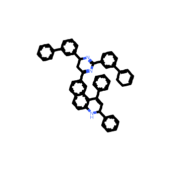 C1=CCCC(c2cccc(C3=NC(c4cccc(-c5ccccc5)c4)CC(c4ccc5ccc6c(c5c4)C(c4ccccc4)=CC(c4ccccc4)N6)=N3)c2)=C1